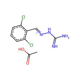 CC(=O)O.N=C(N)N/N=C/c1c(Cl)cccc1Cl